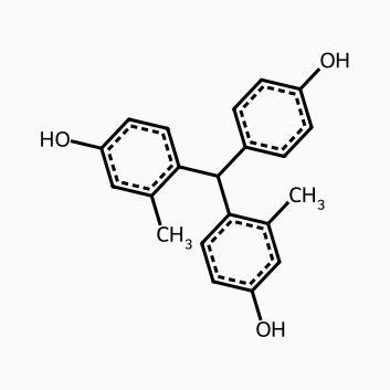 Cc1cc(O)ccc1C(c1ccc(O)cc1)c1ccc(O)cc1C